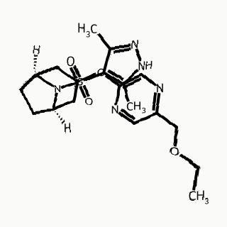 CCOCc1cnc(O[C@H]2C[C@H]3CC[C@@H](C2)N3S(=O)(=O)c2c(C)n[nH]c2C)cn1